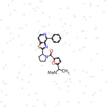 CNC(C)c1ccc(C(=O)N2CCCC2c2nc3c(-c4ccccc4)nccc3s2)o1